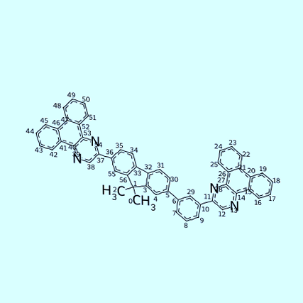 CC1(C)c2cc(-c3cccc(-c4cnc5c6ccccc6c6ccccc6c5n4)c3)ccc2-c2ccc(-c3cnc4c5ccccc5c5ccccc5c4n3)cc21